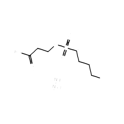 CCCCCS(=O)(=O)OCCC(=O)O.N.[NaH]